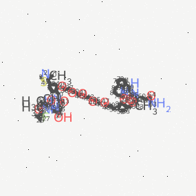 Cc1ncsc1-c1ccc(CNC(=O)[C@@H]2C[C@@H](O)CN2C(=O)[C@@H](NC(=O)C2(F)CC2)C(C)(C)C)c(OCCOCCOCCOCCOCCCc2ccc(CO[C@H](C)[C@H](CCC(N)=O)NC(=O)[C@@H]3Cc4cccc5c4N3C(=O)CCC5)cc2)c1